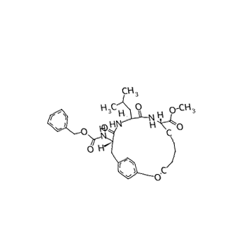 COC(=O)[C@@H]1CCCCCOc2ccc(cc2)C[C@H](NC(=O)OCc2ccccc2)C(=O)N[C@@H](CC(C)C)C(=O)N1